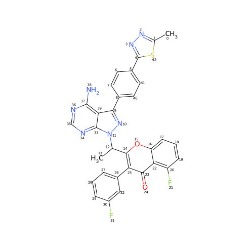 Cc1nnc(-c2ccc(-c3nn(C(C)c4oc5cccc(F)c5c(=O)c4-c4cccc(F)c4)c4ncnc(N)c34)cc2)s1